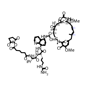 COc1cc2cc(c1Cl)N(C)CC[C@H](OC(O)Nc1ccc(NC(=O)[C@H](CCCNC(N)=O)NC(=O)[C@@H](NC(=O)CCCCC(=O)ON3C(=O)CCC3=O)C(C)C)c3ncccc13)[C@]1(C)O[C@H]1[C@H](C)[C@@H]1C[C@@](O)(NC(=O)O1)[C@H](OC)/C=C/C=C(\C)C2